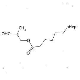 CCCCCCCCCCCCC(=O)OCC(C)C=O